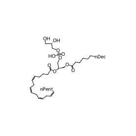 CCCCC/C=C\C/C=C\C/C=C\C/C=C\CCCC(=O)O[C@H](COC(=O)CCCCCCCCCCCCCCC)COP(=O)(O)OC[C@@H](O)CO